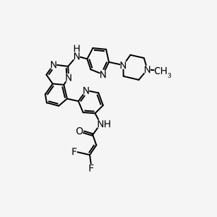 CN1CCN(c2ccc(Nc3ncc4cccc(-c5cc(NC(=O)C=C(F)F)ccn5)c4n3)cn2)CC1